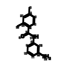 Cc1ccc(C(=O)Nc2cccc(N)c2)c(C)c1